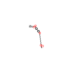 C=CC(=O)OCCCCCCCCCCCCOc1ccc(-c2ccc(C(=O)OCC(C)CC)cc2)cc1